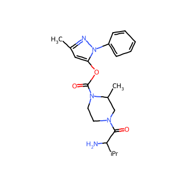 Cc1cc(OC(=O)N2CCN(C(=O)C(N)C(C)C)CC2C)n(-c2ccccc2)n1